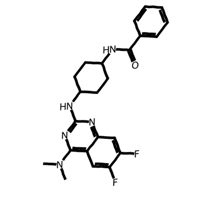 CN(C)c1nc(NC2CCC(NC(=O)c3ccccc3)CC2)nc2cc(F)c(F)cc12